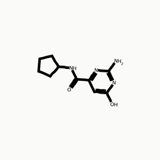 Nc1nc(O)cc(C(=O)NC2CCCC2)n1